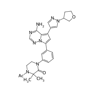 CC(=O)N1CCN(c2cccc(-c3cc(-c4cnn(C5CCOC5)c4)c4c(N)ncnn34)c2)C(=O)C1(C)C